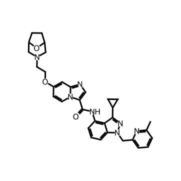 Cc1cccc(Cn2nc(C3CC3)c3c(NC(=O)c4cnc5cc(OCCN6CC7CCC(C6)O7)ccn45)cccc32)n1